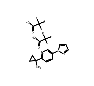 NC1(c2ccc(-n3cccn3)cn2)CC1.O=C(O)C(F)(F)F.O=C(O)C(F)(F)F